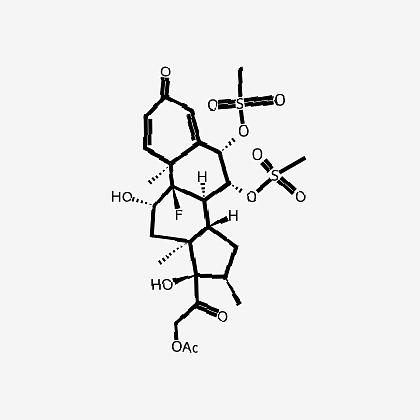 CC(=O)OCC(=O)[C@@]1(O)[C@H](C)C[C@H]2[C@@H]3[C@@H](OS(C)(=O)=O)[C@@H](OS(C)(=O)=O)C4=CC(=O)C=C[C@]4(C)[C@@]3(F)[C@@H](O)C[C@@]21C